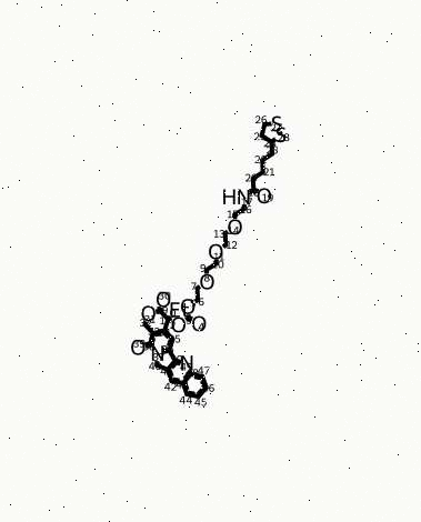 CCC1(OC(=O)OCCOCCOCCOCCNC(=O)CCCCC2CCSS2)C(=O)OCc2c1cc1n(c2=O)Cc2cc3ccccc3nc2-1